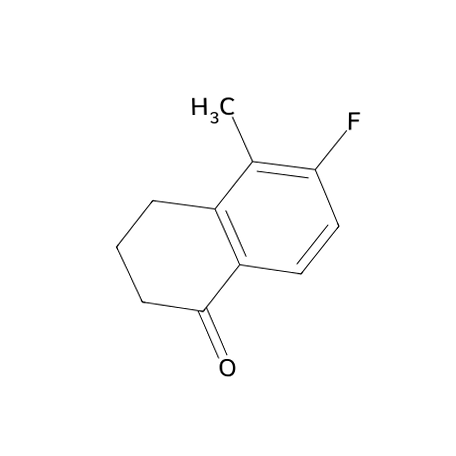 Cc1c(F)ccc2c1CCCC2=O